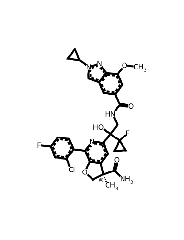 COc1cc(C(=O)NCC(O)(c2cc3c(c(-c4ccc(F)cc4Cl)n2)OC[C@]3(C)C(N)=O)C2(F)CC2)cc2cn(C3CC3)nc12